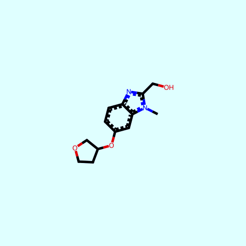 Cn1c(CO)nc2ccc(OC3CCOC3)cc21